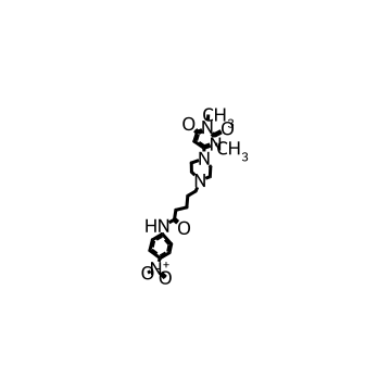 Cn1c(N2CCN(CCCCC(=O)Nc3ccc([N+](=O)[O-])cc3)CC2)cc(=O)n(C)c1=O